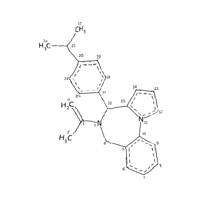 C=C(C)N1Cc2ccccc2-n2cccc2C1c1ccc(C(C)C)cc1